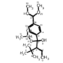 CCC(C(C)(C)C)C(O)(O[SiH](C)C)c1ccc(C(OC)OC)cc1